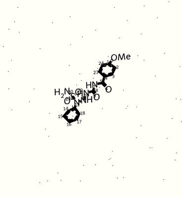 COc1ccc(C(=O)NC(=O)NNN(c2ccccc2)S(N)(=O)=O)cc1